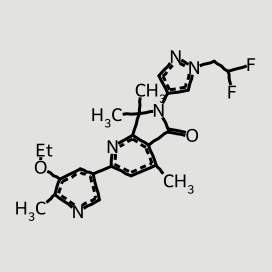 CCOc1cc(-c2cc(C)c3c(n2)C(C)(C)N(c2cnn(CC(F)F)c2)C3=O)cnc1C